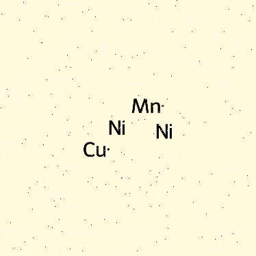 [Cu].[Mn].[Ni].[Ni]